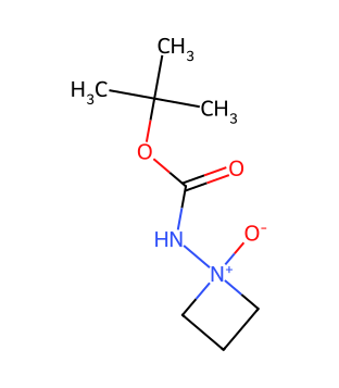 CC(C)(C)OC(=O)N[N+]1([O-])CCC1